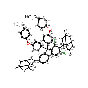 CC12CC3CC(C)(C1)CC(c1ccc4c(c1)C(c1ccc(Oc5ccc(C(=O)O)cc5)cc1)(c1ccc(Oc5ccc(C(=O)O)cc5)cc1)c1c-4cc(Cl)c(C45CC6CC(C)(CC(C)(C6)C4)C5)c1Cl)(C3)C2